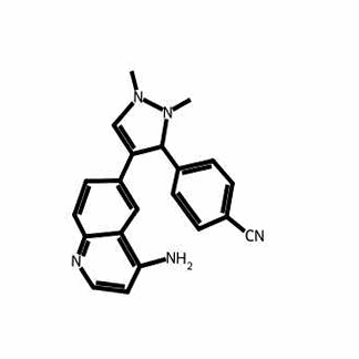 CN1C=C(c2ccc3nccc(N)c3c2)C(c2ccc(C#N)cc2)N1C